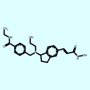 CCNC(=O)c1ccc(CN(CCO)C2CCc3cc(C=CC(=O)NO)ccc32)cc1